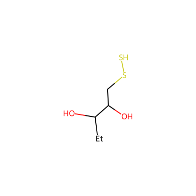 CCC(O)C(O)CSS